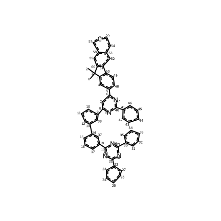 CC1(C)c2cc(-c3cc(-c4cccc(-c5cccc(-c6nc(-c7ccccc7)nc(-c7ccccc7)n6)c5)c4)nc(-c4ccccc4)n3)ccc2-c2cc3ccccc3cc21